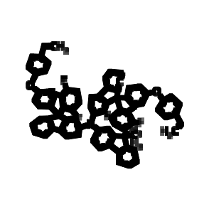 C=Cc1ccc(Oc2ccc(C3(c4c(F)ccc(F)c4F)c4ccccc4-c4ccc(N(c5ccc6c(c5)C(C)(C)c5ccccc5-6)c5ccc6c(c5)C(c5ccc(Oc7ccc(C=C)cc7)cc5)(c5c(F)ccc(F)c5F)c5ccccc5-6)cc43)cc2)cc1